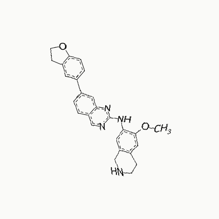 COc1cc2c(cc1Nc1ncc3ccc(-c4ccc5c(c4)CCO5)cc3n1)CNCC2